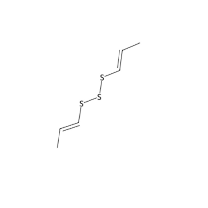 CC=CSSSC=CC